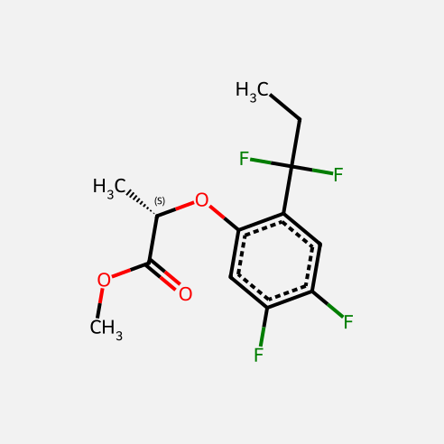 CCC(F)(F)c1cc(F)c(F)cc1O[C@@H](C)C(=O)OC